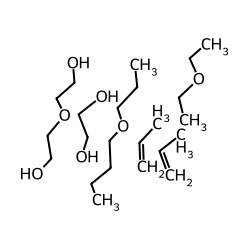 C=CC.C=CC.CCCCOCCC.CCOCC.OCCO.OCCOCCO